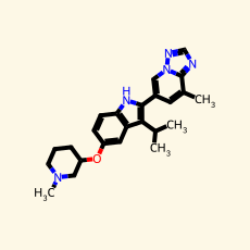 Cc1cc(-c2[nH]c3ccc(OC4CCCN(C)C4)cc3c2C(C)C)cn2ncnc12